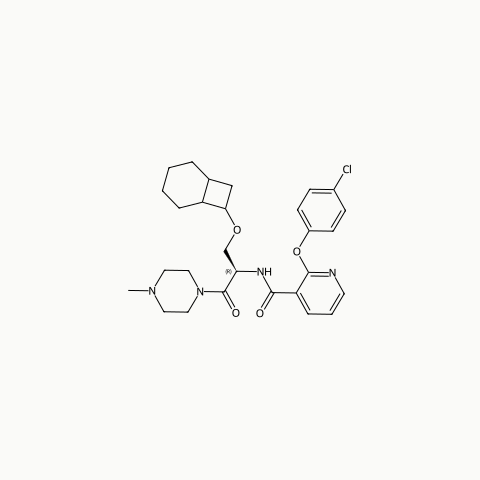 CN1CCN(C(=O)[C@@H](COC2CC3CCCCC32)NC(=O)c2cccnc2Oc2ccc(Cl)cc2)CC1